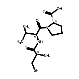 CC(C)[C@H](NC(=O)[C@@H](N)CS)C(=O)N1CCC[C@H]1C(=O)O